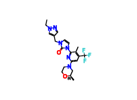 CCn1cc(Cn2ccn(-c3nc(N4CCO[C@H](C)C4)cc(C(F)(F)F)c3C)c2=O)cn1